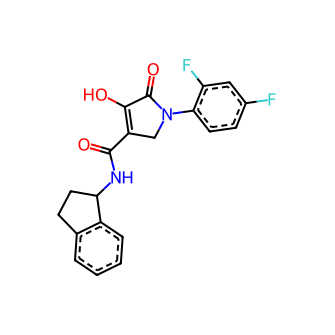 O=C(NC1CCc2ccccc21)C1=C(O)C(=O)N(c2ccc(F)cc2F)C1